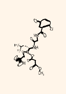 COC(=O)CC(=O)OB(OCC(=O)O)[C@H](CC(C)C)NC(=O)CNC(=O)c1cc(Cl)ccc1Cl